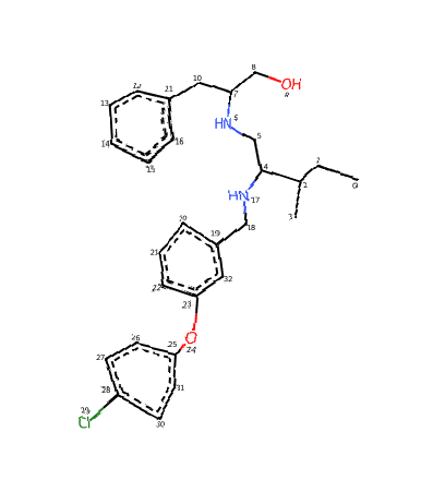 CCC(C)C(CNC(CO)Cc1ccccc1)NCc1cccc(Oc2ccc(Cl)cc2)c1